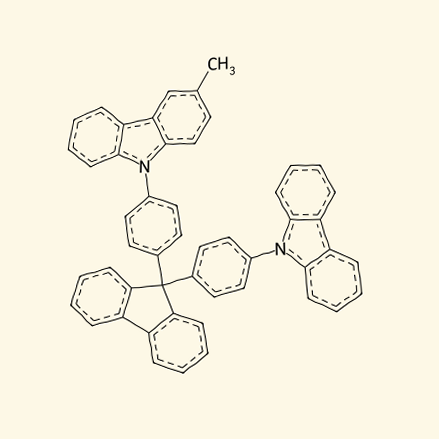 Cc1ccc2c(c1)c1ccccc1n2-c1ccc(C2(c3ccc(-n4c5ccccc5c5ccccc54)cc3)c3ccccc3-c3ccccc32)cc1